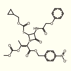 COC(=O)OC(C)=C(C(=O)OCc1ccc([N+](=O)[O-])cc1)N1C(=O)C(NC(=O)COc2ccccc2)C1SC(=O)OCC1CC1